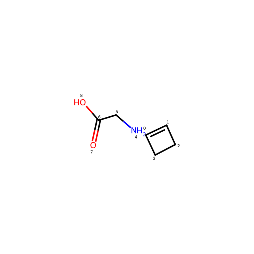 C1=CCC1.NCC(=O)O